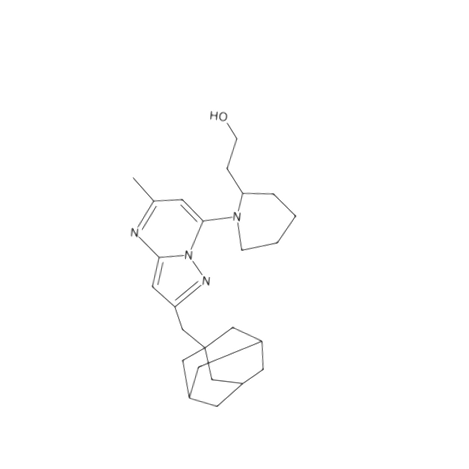 Cc1cc(N2CCCCC2CCO)n2nc(CC34CC5CC(CC(C5)C3)C4)cc2n1